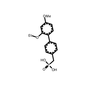 CCOc1cc(OC)ccc1-c1ccc(CP(=O)(O)O)cc1